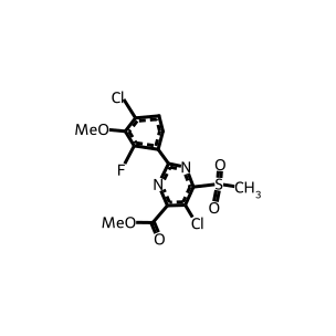 COC(=O)c1nc(-c2ccc(Cl)c(OC)c2F)nc(S(C)(=O)=O)c1Cl